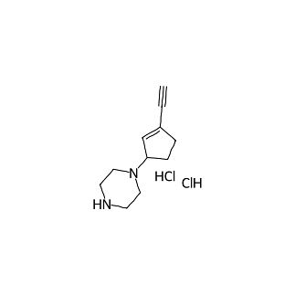 C#CC1=CC(N2CCNCC2)CC1.Cl.Cl